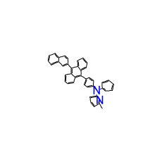 Cc1cccc(N(c2ccccc2)c2ccc(-c3c4ccccc4c(-c4ccc5ccccc5c4)c4ccccc34)cc2)n1